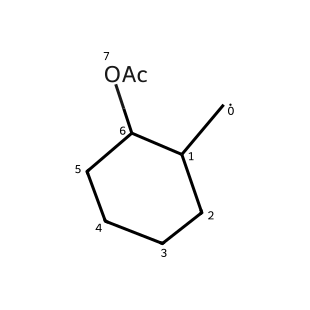 [CH2]C1CCCCC1OC(C)=O